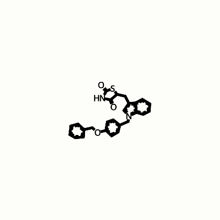 O=C1NC(=O)C(Cc2cn(Cc3ccc(OCc4ccccc4)cc3)c3ccccc23)S1